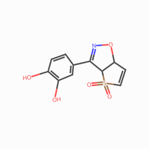 O=S1(=O)C=CC2ON=C(c3ccc(O)c(O)c3)C21